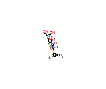 Cc1cc(C)cc(SCC(=O)N[C@@H]2C(=O)N3C(C(=O)[O-])=C(C=CC[N+](C)(CCO)CCCO)CS[C@H]23)c1